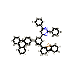 c1ccc(-c2cc(-c3cc(-c4ccc5c6ccccc6c6ccccc6c5c4)cc(-c4cccc5c4sc4ccccc45)c3)nc(-c3ccccc3)n2)cc1